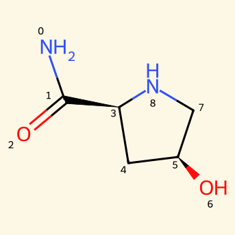 NC(=O)[C@@H]1C[C@H](O)CN1